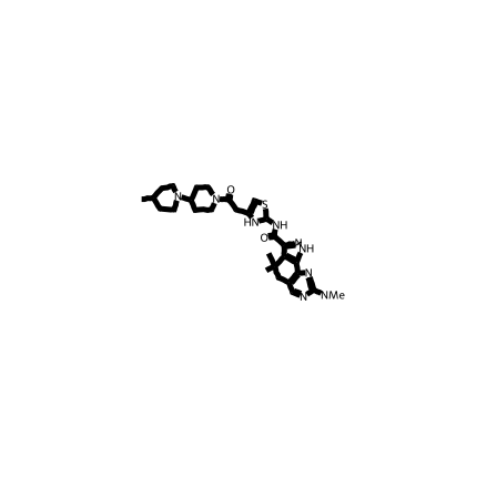 CNc1ncc2c(n1)-c1[nH]nc(C(=O)NC3NC(CC(=O)N4CCC(N5CCC(C)CC5)CC4)=CS3)c1C(C)(C)C2